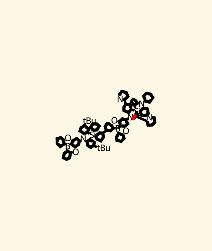 CC(C)(C)c1ccc2c(c1)[Si](c1ccccc1)(c1cccc(-c3ccc4c(c3)B3c5ccccc5Oc5cc(N6c7ccc(-c8ccccn8)cc7[Si]7(c8ccccc8N(c8ccccc8)c8ccccc87)c7cc(-c8ccccn8)ccc76)cc(c53)O4)c1)c1cc(C(C)(C)C)ccc1N2c1cc2c3c(c1)Oc1ccccc1B3c1ccccc1O2